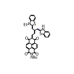 CCCCN1C(=O)c2ccc3c(=O)c(=CC=C(C=C4Sc5ccccc5N4CC)/C=C4/Nc5ccccc5S4)c(=O)c4ccc(c2c34)C1=O